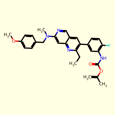 C=C(C)OC(=O)Nc1cc(-c2cc3cnc(N(C)Cc4ccc(OC)cc4)cc3nc2CC)ccc1F